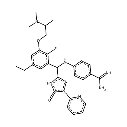 CCc1cc(OCC(C)N(C)C)c(F)c(C(Nc2ccc(C(=N)N)cc2)c2nn(-c3ccccn3)c(=O)[nH]2)c1